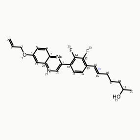 C=CCOc1ccc2nc(-c3ccc(/C=C/CCCC(C)O)c(F)c3F)cnc2c1